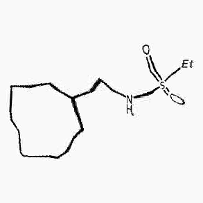 CCS(=O)(=O)NCC1CCCCCC1